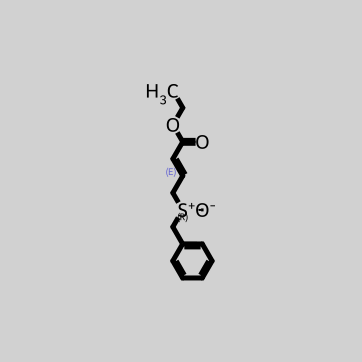 CCOC(=O)/C=C/C[S@+]([O-])Cc1ccccc1